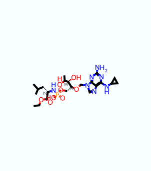 CCOC(=O)[C@H](CC(C)C)NP(=O)(O)OC[C@@H](OCn1cnc2c(NC3CC3)nc(N)nc21)[C@H](O)C(C)O